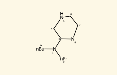 CCCCN(CCC)C1CNCC[N]1